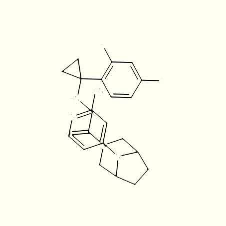 N#Cc1cc(N2C3CCC2CN(C(=O)CNC2(c4ccc(F)cc4F)CC2)C3)ccn1